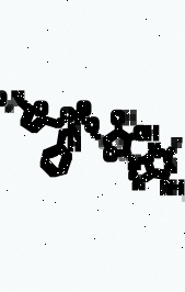 Nc1nc(F)nc2c1ncn2[C@@H]1O[C@H](COP(=O)(NCc2ccccc2)OCc2ccc([N+](=O)[O-])o2)C(O)[C@H]1O